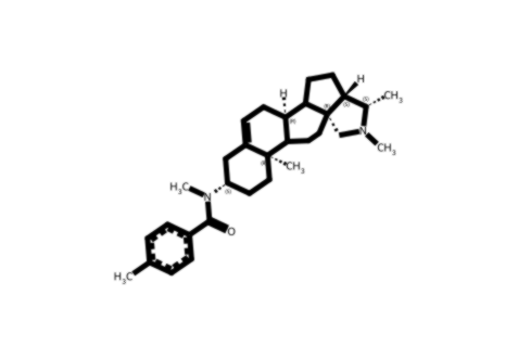 Cc1ccc(C(=O)N(C)[C@H]2CC[C@@]3(C)C(=CC[C@H]4C5CC[C@@H]6[C@H](C)N(C)C[C@]56CCC43)C2)cc1